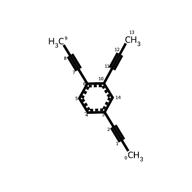 CC#Cc1[c]cc(C#CC)c(C#CC)c1